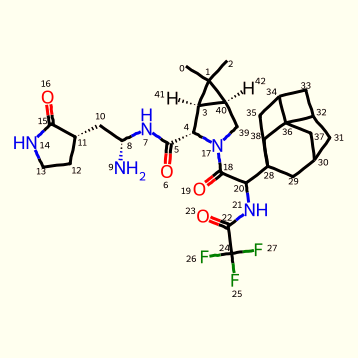 CC1(C)[C@@H]2[C@@H](C(=O)N[C@H](N)C[C@@H]3CCNC3=O)N(C(=O)C(NC(=O)C(F)(F)F)C34CC5CC6CC(C3)C6(C5)C4)C[C@@H]21